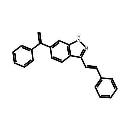 C=C(c1ccccc1)c1ccc2c(/C=C/c3ccccc3)n[nH]c2c1